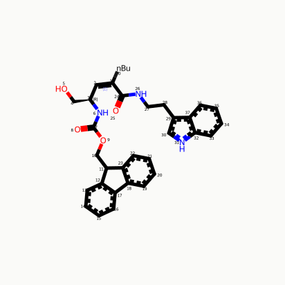 CCCC/C(=C/[C@H](CO)NC(=O)OCC1c2ccccc2-c2ccccc21)C(=O)NCCc1c[nH]c2ccccc12